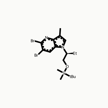 CC[C@@H](CO[Si](C)(C)C(C)(C)C)n1cc(C)c2nc(Br)c(Br)cc21